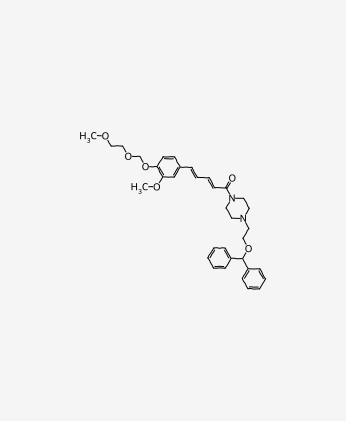 COCCOCOc1ccc(C=CC=CC(=O)N2CCN(CCOC(c3ccccc3)c3ccccc3)CC2)cc1OC